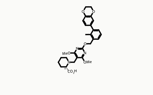 COc1nc(OCc2cccc(-c3ccc4c(c3)OCCO4)c2C)nc(OC)c1CN1CCCC[C@H]1C(=O)O